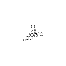 COc1ccc2c(c1)CCc1nc(NC(=O)Cc3ccccc3)c(CCC3CCCCC3)nc1-2